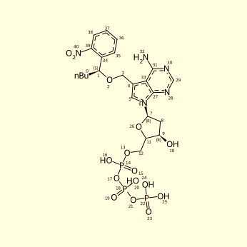 CCCC[C@H](OCc1cn([C@H]2C[C@@H](O)C(COP(=O)(O)OP(=O)(O)OP(=O)(O)O)O2)c2ncnc(N)c12)c1ccccc1[N+](=O)[O-]